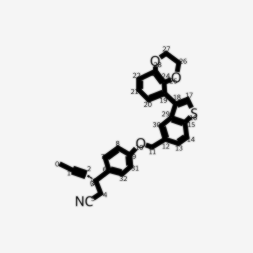 CC#C[C@@H](CC#N)c1ccc(OCc2ccc3scc(-c4cccc5c4OCCO5)c3c2)cc1